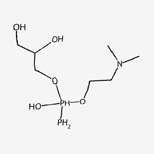 CN(C)CCO[PH](O)(P)OCC(O)CO